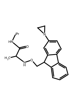 CC(C)NC(=O)C(C)NOCC1c2ccccc2-c2ccc(N3CC3)cc21